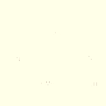 COc1cnc(C2CC2)cc1-c1cc(C)ncc1C(=O)O